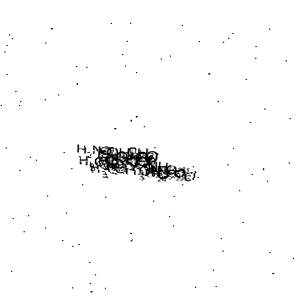 CO[C@@H]1[C@@H](OC(N)=O)[C@@H](O)[C@H](Oc2ccc3c(O)c(NC(=O)c4cccc(Oc5ccc(Cl)cc5)n4)c(=O)oc3c2C)OC1(C)C